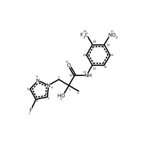 CC(O)(Cn1cc(F)cn1)C(=O)Nc1ccc([N+](=O)[O-])c(C(F)(F)F)c1